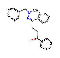 CN(Cc1ccccc1)/N=C(/CCC(=O)c1ccccc1)c1ccccc1